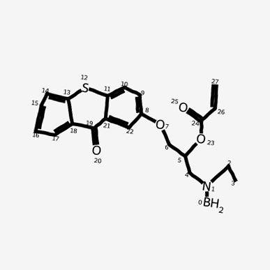 BN(CC)CC(COc1ccc2sc3ccccc3c(=O)c2c1)OC(=O)C=C